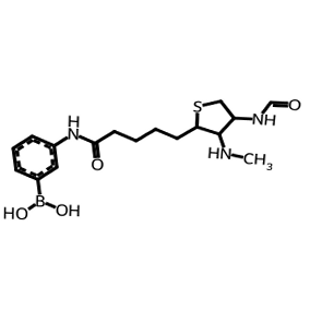 CNC1C(NC=O)CSC1CCCCC(=O)Nc1cccc(B(O)O)c1